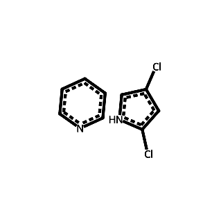 Clc1c[nH]c(Cl)c1.c1ccncc1